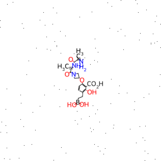 C[C@H](N)C(=O)N[C@@H](C)C(=O)N1CC(Oc2ccc(CCB(O)O)c(O)c2C(=O)O)C1